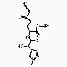 CC(C)OC(=O)[C@H](CCC(=O)C=[N+]=[N-])NC(=O)[C@H](O)c1cn(C)cn1